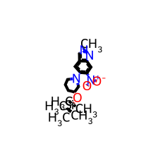 Cn1cc2cc(N3CCCC(O[Si](C)(C)C(C)(C)C)C3)c([N+](=O)[O-])cc2n1